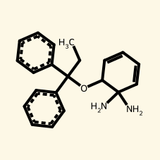 CCC(OC1C=CC=CC1(N)N)(c1ccccc1)c1ccccc1